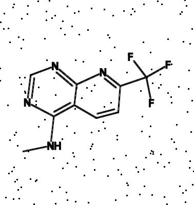 CNc1ncnc2nc(C(F)(F)F)ccc12